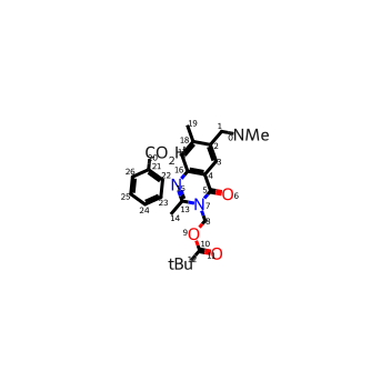 CNCc1cc2c(=O)n(COC(=O)C(C)(C)C)c(C)nc2cc1C.O=C(O)c1ccccc1